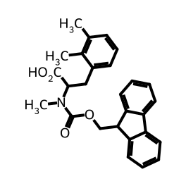 Cc1cccc(CC(C(=O)O)N(C)C(=O)OCC2c3ccccc3-c3ccccc32)c1C